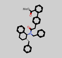 COC(=O)c1ccccc1-c1ccc(CC(=O)N(Cc2ccccc2)[C@@H]2c3ccccc3CC[C@H]2Cc2ccccc2)cc1